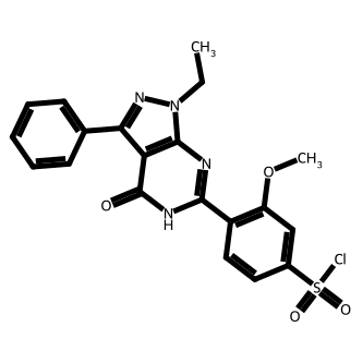 CCn1nc(-c2ccccc2)c2c(=O)[nH]c(-c3ccc(S(=O)(=O)Cl)cc3OC)nc21